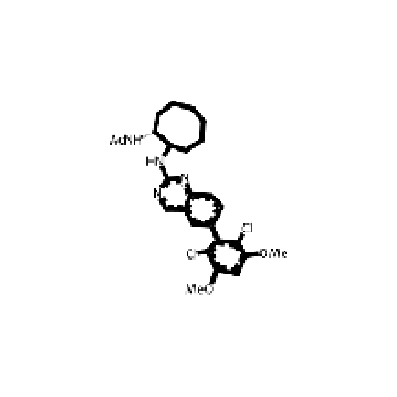 COc1cc(OC)c(Cl)c(-c2ccc3nc(NC4CCCCCC[C@H]4NC(C)=O)ncc3c2)c1Cl